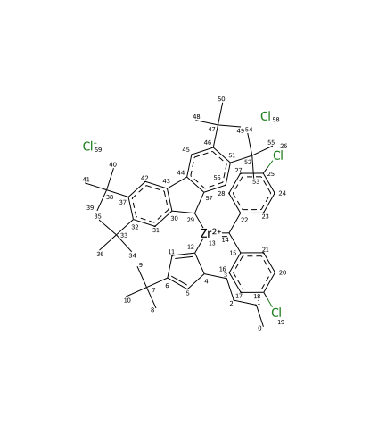 CCCCC1C=C(C(C)(C)C)C=[C]1[Zr+2](=[C](c1ccc(Cl)cc1)c1ccc(Cl)cc1)[CH]1c2cc(C(C)(C)C)c(C(C)(C)C)cc2-c2cc(C(C)(C)C)c(C(C)(C)C)cc21.[Cl-].[Cl-]